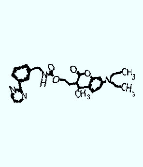 CCN(CC)c1ccc2c(c1)OC(=O)C(CCOC(=O)NCc1cccc(-c3ncccn3)c1)C2C